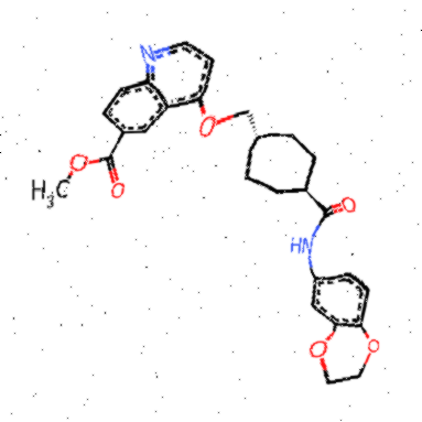 COC(=O)c1ccc2nccc(OC[C@H]3CC[C@H](C(=O)Nc4ccc5c(c4)OCCO5)CC3)c2c1